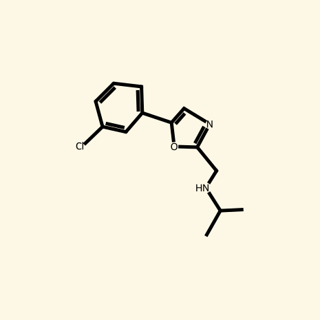 CC(C)NCc1ncc(-c2cccc(Cl)c2)o1